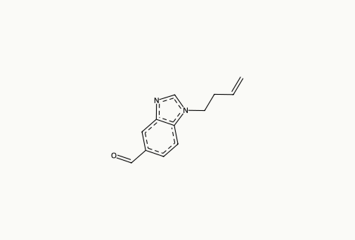 C=CCCn1cnc2cc(C=O)ccc21